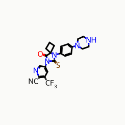 N#Cc1ncc(N2C(=O)C3(CCC3)N(c3ccc(N4CCNCC4)cc3)C2=S)cc1C(F)(F)F